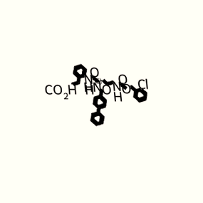 O=C(O)CCc1ccccc1NC(=O)[C@H](CCCNC(=O)OCc1ccccc1Cl)NC(=O)c1ccc(-c2ccccc2)cc1